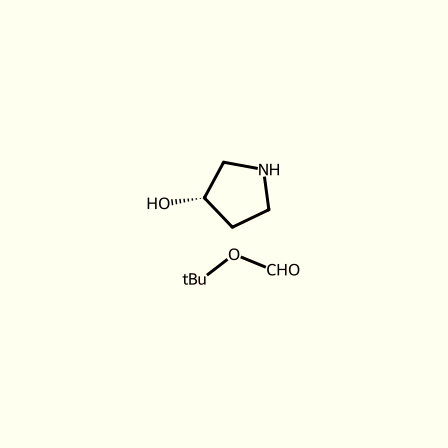 CC(C)(C)OC=O.O[C@H]1CCNC1